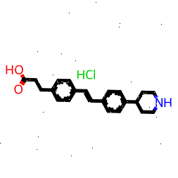 Cl.O=C(O)CCc1ccc(C=Cc2ccc(C3CCNCC3)cc2)cc1